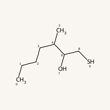 CCCCC(C)C(O)CS